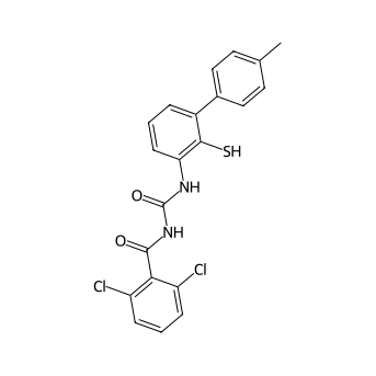 Cc1ccc(-c2cccc(NC(=O)NC(=O)c3c(Cl)cccc3Cl)c2S)cc1